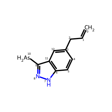 C=CCc1ccc2[nH]nc([AsH2])c2c1